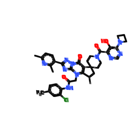 Cc1ccc(-c2nc3n(CC(=O)Nc4ccc(C(F)(F)F)cc4Cl)c4c(c(=O)n3n2)C2(CCN(C(=O)c3ncnc(N5CCC5)c3O)CC2)CC4C)c(C)n1